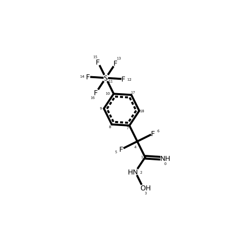 N=C(NO)C(F)(F)c1ccc(S(F)(F)(F)(F)F)cc1